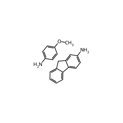 COc1ccc(N)cc1.Nc1ccc2c(c1)Cc1ccccc1-2